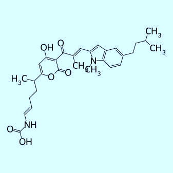 CC(=Cc1cc2cc(CCC(C)C)ccc2n1C)C(=O)c1c(O)cc(C(C)CC/C=C/NC(=O)O)oc1=O